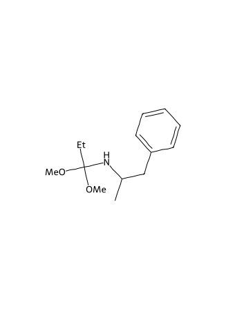 CCC(NC(C)Cc1ccccc1)(OC)OC